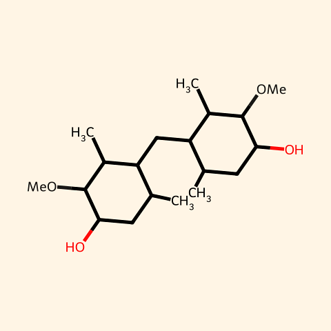 COC1C(O)CC(C)C(CC2C(C)CC(O)C(OC)C2C)C1C